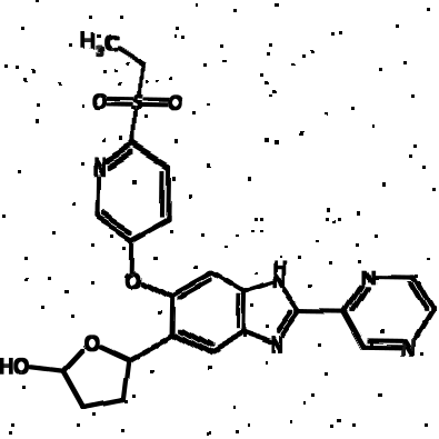 CCS(=O)(=O)c1ccc(Oc2cc3[nH]c(-c4cnccn4)nc3cc2C2CCC(O)O2)cn1